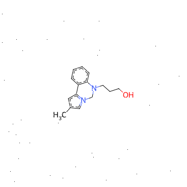 Cc1cc2n(c1)CN(CCCO)c1ccccc1-2